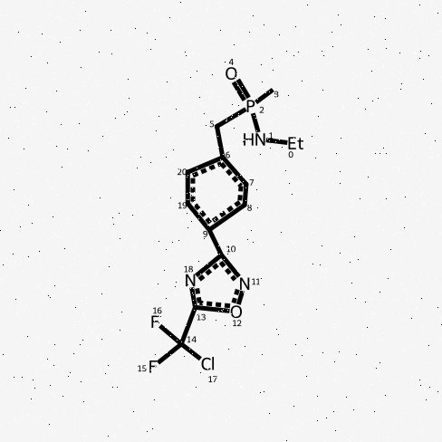 CCNP(C)(=O)Cc1ccc(-c2noc(C(F)(F)Cl)n2)cc1